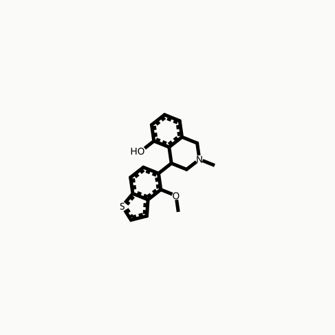 COc1c(C2CN(C)Cc3cccc(O)c32)ccc2sccc12